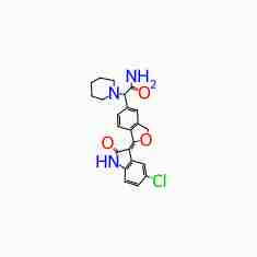 NC(=O)C(c1ccc2c(c1)COC2=C1C(=O)Nc2ccc(Cl)cc21)N1CCCCC1